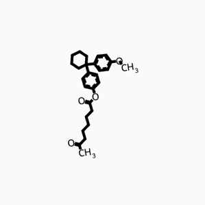 COc1ccc(C2(c3ccc(OC(=O)CCCCCC(C)=O)cc3)CCCCC2)cc1